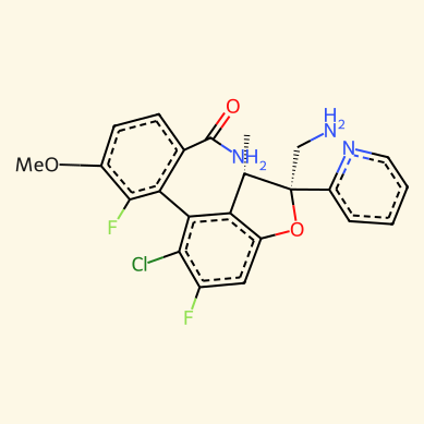 COc1ccc(C(N)=O)c(-c2c(Cl)c(F)cc3c2[C@H](C)[C@@](CN)(c2ccccn2)O3)c1F